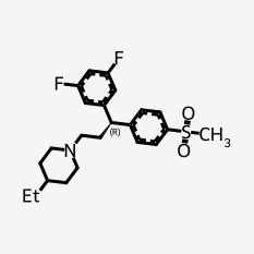 [CH2]CC1CCN(CC[C@H](c2ccc(S(C)(=O)=O)cc2)c2cc(F)cc(F)c2)CC1